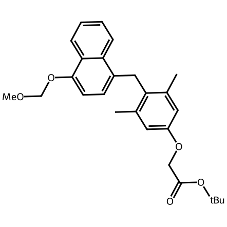 COCOc1ccc(Cc2c(C)cc(OCC(=O)OC(C)(C)C)cc2C)c2ccccc12